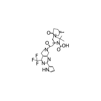 C[C@@H]1CCC(=O)N(C[C@H](CC(=O)N2CCc3c(nc(-c4ccc[nH]4)nc3C(F)(F)F)C2)N(C(=O)O)C(C)(C)C)C1